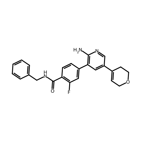 Nc1ncc(C2=CCOCC2)cc1-c1ccc(C(=O)NCc2ccccc2)c(F)c1